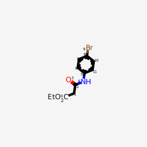 CCOC(=O)CC(=O)Nc1ccc(Br)cc1